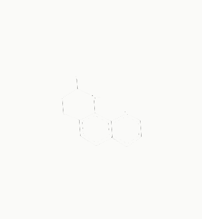 CC(C)C1CCc2ccc3cccnc3c2N1